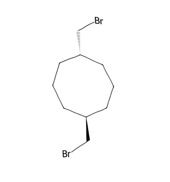 BrC[C@H]1CCC[C@H](CBr)CCC1